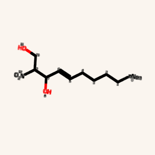 CCCCCCCCCCCCCC=CC(O)C(CO)[N+](=O)[O-]